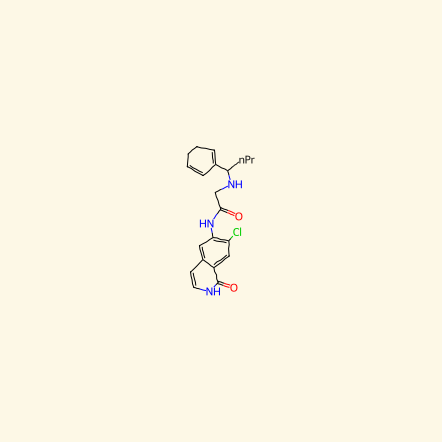 CCCC(NCC(=O)Nc1cc2cc[nH]c(=O)c2cc1Cl)C1=CCCC=C1